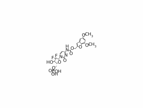 COc1cc(OC)c2oc(COC(=O)Nc3ccn([C@@H]4O[C@H](COP(=O)(O)O)[C@@H](O)C4(F)F)c(=O)n3)cc2c1